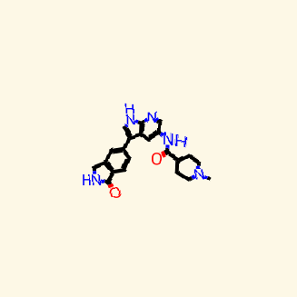 CN1CCC(C(=O)Nc2cnc3[nH]cc(-c4ccc5c(c4)CNC5=O)c3c2)CC1